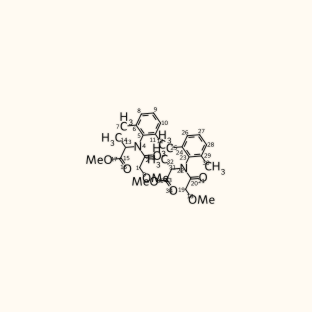 COCC(=O)N(c1c(C)cccc1C)C(C)C(=O)OC.COCC(=O)N(c1c(C)cccc1C)[C@@H](C)C(=O)OC